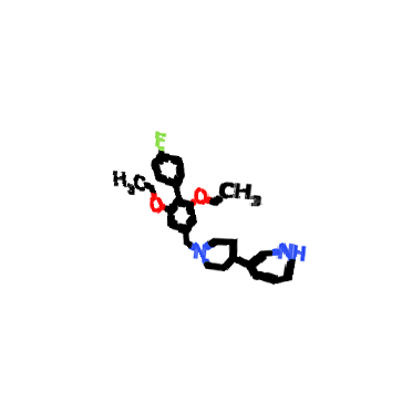 CCOc1cc(CN2CCC(C3=CNC=CC=C3)CC2)cc(OCC)c1-c1ccc(F)cc1